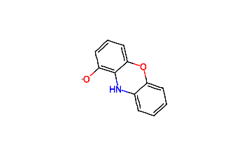 [O]c1cccc2c1Nc1ccccc1O2